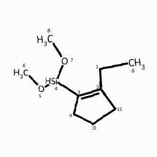 CCC1=C([SiH](OC)OC)CCC1